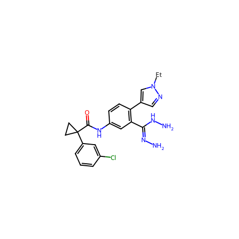 CCn1cc(-c2ccc(NC(=O)C3(c4cccc(Cl)c4)CC3)cc2/C(=N/N)NN)cn1